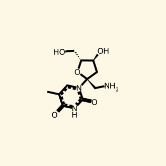 Cc1cn([C@@]2(CN)C[C@H](O)[C@@H](CO)O2)c(=O)[nH]c1=O